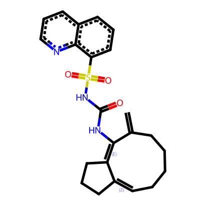 C=C1CCCC/C=C2/CCC/C2=C/1NC(=O)NS(=O)(=O)c1cccc2cccnc12